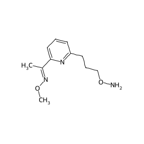 CON=C(C)c1cccc(CCCON)n1